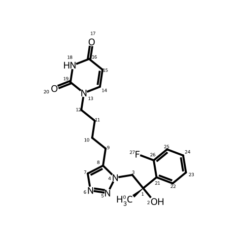 C[C@@](O)(Cn1nncc1CCCCn1ccc(=O)[nH]c1=O)c1ccccc1F